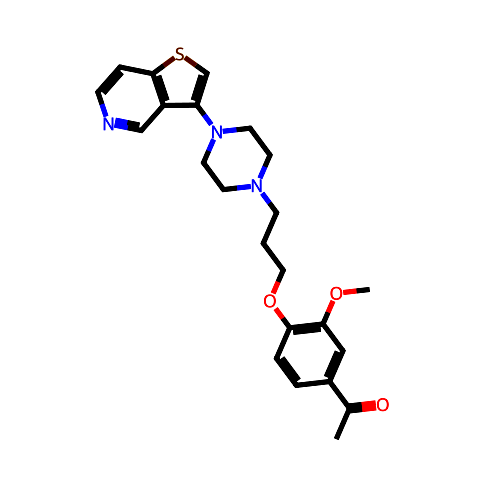 COc1cc(C(C)=O)ccc1OCCCN1CCN(c2csc3ccncc23)CC1